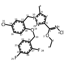 CCO/C(=N\Cl)c1cc(C)n(Cc2cc(Cl)ccc2OCc2ccc(F)cc2F)n1